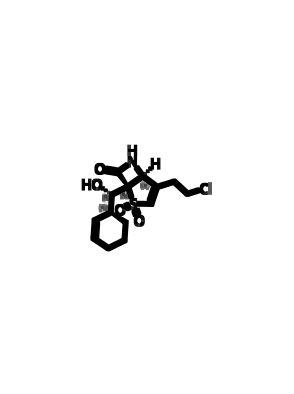 O=C1N[C@H]2C(CCCl)=CS(=O)(=O)[C@@]12[C@@H](O)[C@@H]1C=CCCC1